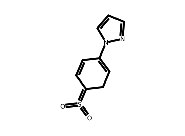 O=S(=O)=C1C=CC(n2cccn2)=CC1